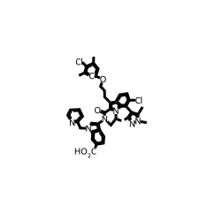 Cc1cc(OCCCc2c3n(c4c(-c5c(C)nn(C)c5C)c(Cl)ccc24)C(C)CN(c2cn(Cc4ccccn4)c4cc(C(=O)O)ccc24)C3=O)cc(C)c1Cl